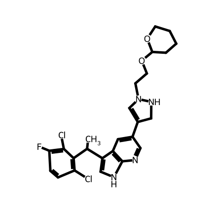 CC(c1c(Cl)ccc(F)c1Cl)c1c[nH]c2ncc(C3=CN(CCOC4CCCCO4)NC3)cc12